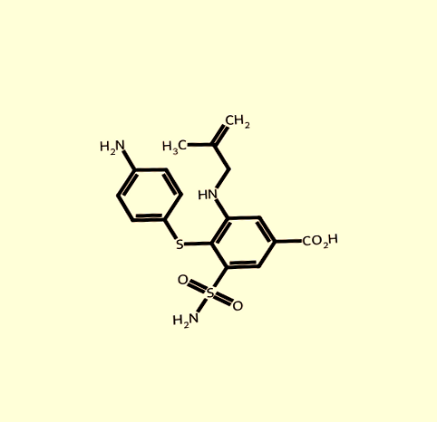 C=C(C)CNc1cc(C(=O)O)cc(S(N)(=O)=O)c1Sc1ccc(N)cc1